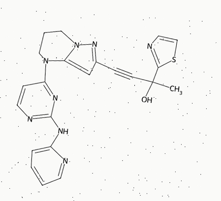 CC(O)(C#Cc1cc2n(n1)CCCN2c1ccnc(Nc2ccccn2)n1)c1nccs1